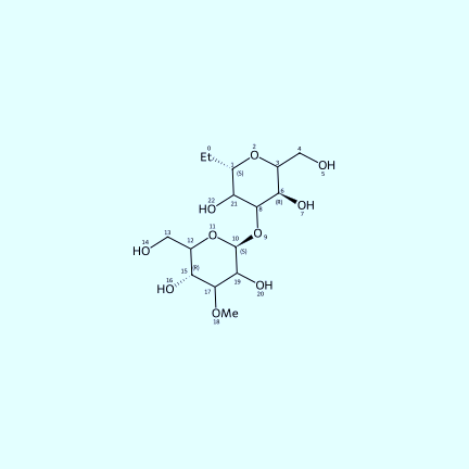 CC[C@@H]1OC(CO)[C@@H](O)C(O[C@@H]2OC(CO)[C@@H](O)C(OC)C2O)C1O